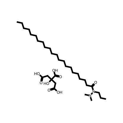 CCCCCCCCCCCCCCCCCCCCCC(=O)N(CCC)N(C)C.O=C(O)CC(O)(CC(=O)O)C(=O)O